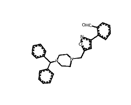 O=Cc1ccccc1-c1cc(CN2CCN(C(c3ccccc3)c3ccccc3)CC2)on1